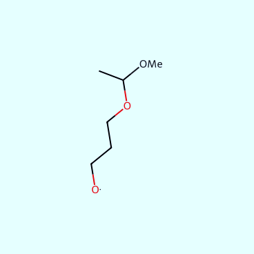 COC(C)OCCC[O]